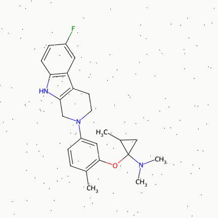 Cc1ccc(N2CCc3c([nH]c4ccc(F)cc34)C2)cc1OC1(N(C)C)CC1C